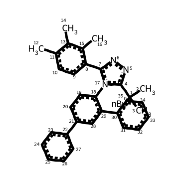 CCCCC(C)(C)c1nnc(-c2ccc(C)c(C)c2C)n1-c1ccc(-c2ccccc2)cc1-c1ccccc1